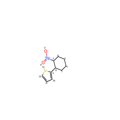 O=[N+]([O-])C1CCCCC1c1cccs1